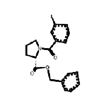 O=C(OCc1ccccc1)[C@@H]1CCCN1C(=O)c1cccc(I)c1